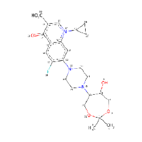 CC1(C)OCC(O)C(N2CCN(c3cc4c(cc3F)c(=O)c(C(=O)O)cn4C3CC3)CC2)CO1